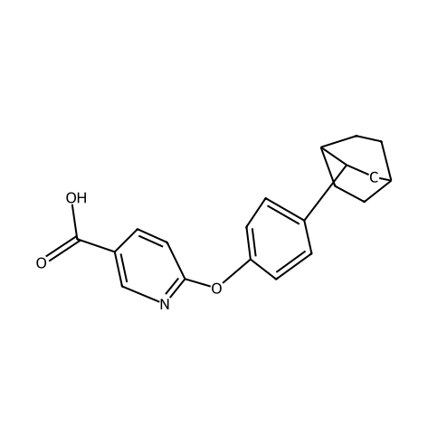 O=C(O)c1ccc(Oc2ccc(C3CC4CCC3CC4)cc2)nc1